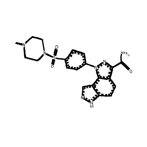 CN1CCN(S(=O)(=O)c2ccc(-n3nc(C(N)=O)c4ccc5[nH]ncc5c43)cc2)CC1